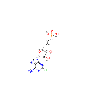 Nc1nc(Cl)nc2c1ncn2[C@@H]1O[C@H](CCCCP(=O)(O)O)C(O)[C@@H]1O